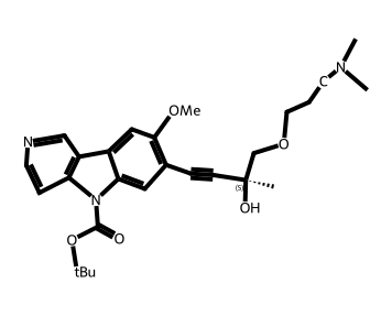 COc1cc2c3cnccc3n(C(=O)OC(C)(C)C)c2cc1C#C[C@](C)(O)COCCCN(C)C